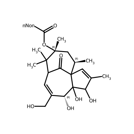 CCCCCCCCCC(=O)O[C@]1(C)C[C@@H](C)C23C=C(C)C(O)C2(O)[C@H](O)C(CO)=CC(C3=O)C1(C)C